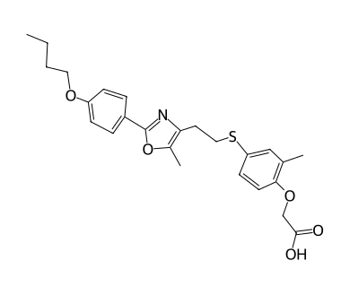 CCCCOc1ccc(-c2nc(CCSc3ccc(OCC(=O)O)c(C)c3)c(C)o2)cc1